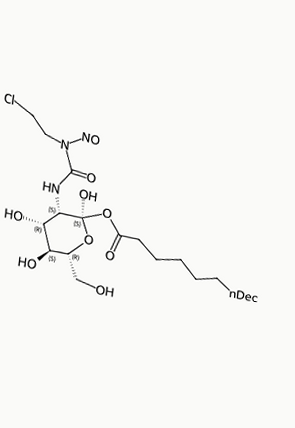 CCCCCCCCCCCCCCCC(=O)O[C@@]1(O)O[C@H](CO)[C@@H](O)[C@H](O)[C@@H]1NC(=O)N(CCCl)N=O